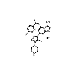 Cc1c(-c2cc(O[C@H](C)c3ccc(F)cn3)n3c(C#N)cnc3c2)nnn1C1CCNCC1.Cl